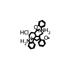 COc1ccccc1CC1C(c2nc3ccccc3o2)CCN(N)C1(CCCCN)c1ccccc1.Cl